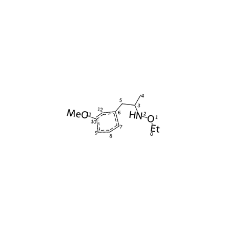 CCONC(C)Cc1cccc(OC)c1